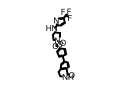 O=C1NCCc2cc(-c3ccc(S(=O)(=O)N4CCC(Nc5ccc(C(F)(F)F)cn5)CC4)cc3)ccc21